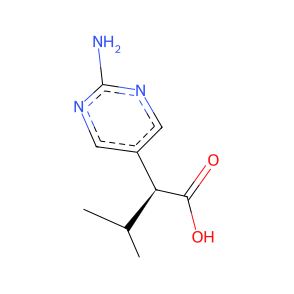 CC(C)[C@H](C(=O)O)c1cnc(N)nc1